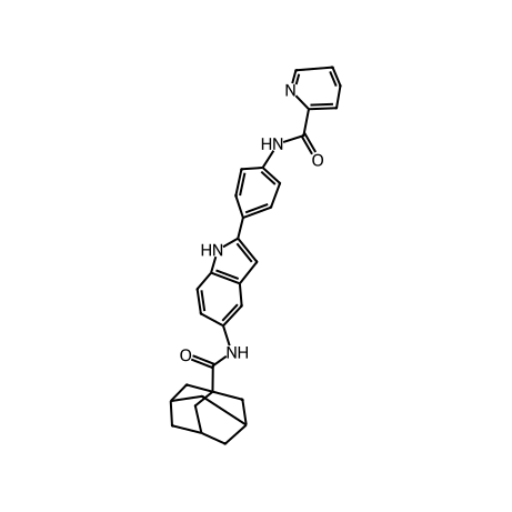 O=C(Nc1ccc(-c2cc3cc(NC(=O)C45CC6CC(CC(C6)C4)C5)ccc3[nH]2)cc1)c1ccccn1